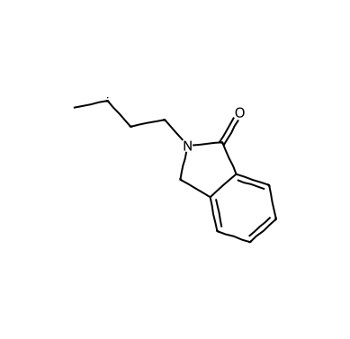 C[CH]CCN1Cc2ccccc2C1=O